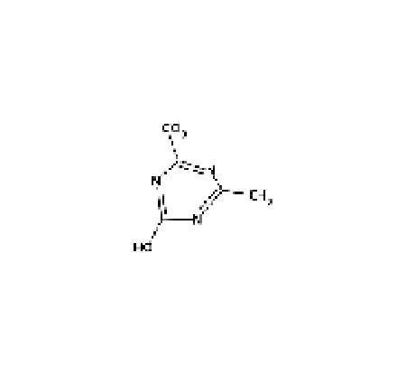 Cc1nc(O)nc(C(Cl)(Cl)Cl)n1